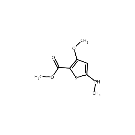 COC(=O)c1sc(PC)cc1OC